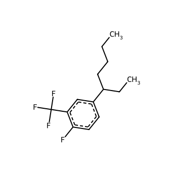 CCCCC(CC)c1ccc(F)c(C(F)(F)F)c1